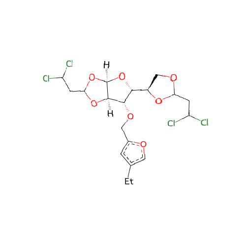 CCc1coc(CO[C@@H]2[C@H]3OC(CC(Cl)Cl)O[C@H]3O[C@@H]2[C@H]2COC(CC(Cl)Cl)O2)c1